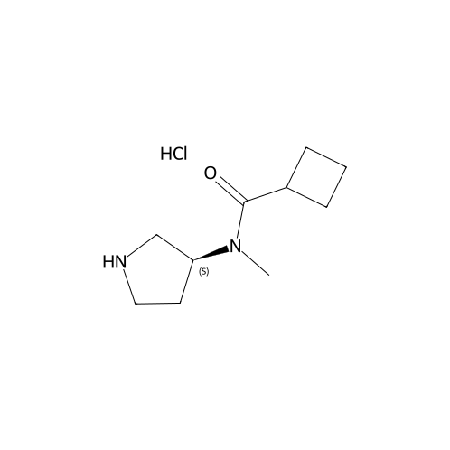 CN(C(=O)C1CCC1)[C@H]1CCNC1.Cl